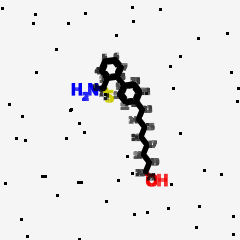 NC(=S)c1ccccc1-c1ccc(CCCCCCCCO)cc1